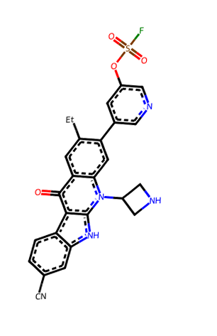 CCc1cc2c(=O)c3c4ccc(C#N)cc4[nH]c3n(C3CNC3)c2cc1-c1cncc(OS(=O)(=O)F)c1